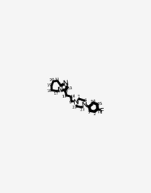 Fc1ccc(N2CCN(CCCc3cnc4n3CCCCC4)CC2)cc1